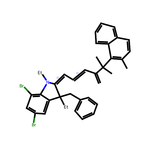 C=C(/C=C/C=C1/N(CC)c2c(Br)cc(Br)cc2C1(CC)Cc1ccccc1)C(C)(C)c1c(C)ccc2ccccc12